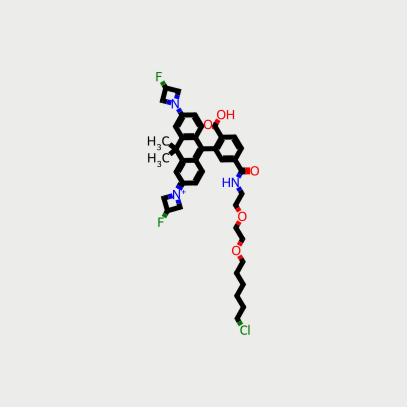 CC1(C)C2=CC(=[N+]3CC(F)C3)C=CC2=C(c2cc(C(=O)NCCOCCOCCCCCCCl)ccc2C(=O)O)c2ccc(N3CC(F)C3)cc21